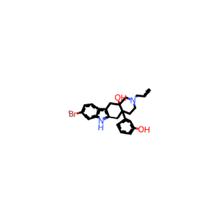 C=CCN1CCC2(c3cccc(O)c3)Cc3[nH]c4cc(Br)ccc4c3CC2(O)C1